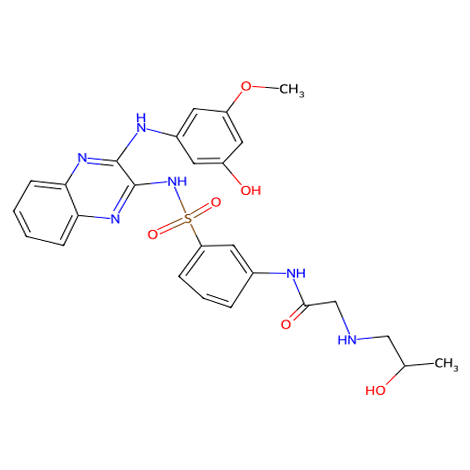 COc1cc(O)cc(Nc2nc3ccccc3nc2NS(=O)(=O)c2cccc(NC(=O)CNCC(C)O)c2)c1